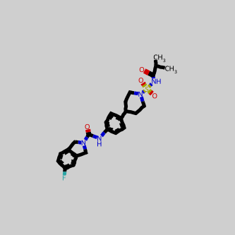 CC(C)C(=O)NS(=O)(=O)N1CCC(c2ccc(NC(=O)N3Cc4ccc(F)cc4C3)cc2)CC1